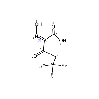 O=C(O)/C(=N\O)C(=O)CC(F)(F)F